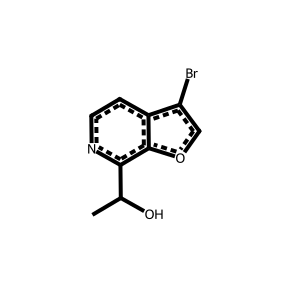 CC(O)c1nccc2c(Br)coc12